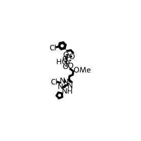 CO[C@@H](CCc1cnc2c(NC3CCCC3)nc(Cl)nn12)COP(=O)(O)CP1(=O)OCC[C@@H](c2cccc(Cl)c2)O1